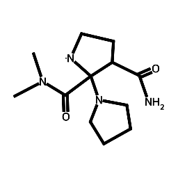 CN(C)C(=O)C1(N2CCCC2)[N]CCC1C(N)=O